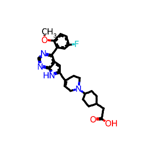 COc1ccc(F)cc1-c1ncnc2[nH]c(C3=CCN(C4CCC(CC(=O)O)CC4)CC3)cc12